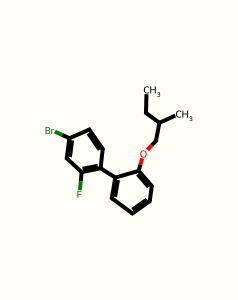 CCC(C)COc1ccccc1-c1ccc(Br)cc1F